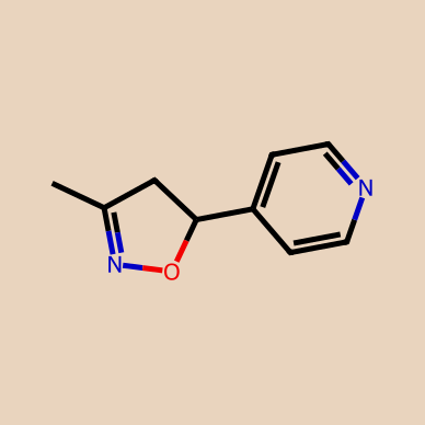 CC1=NOC(c2ccncc2)C1